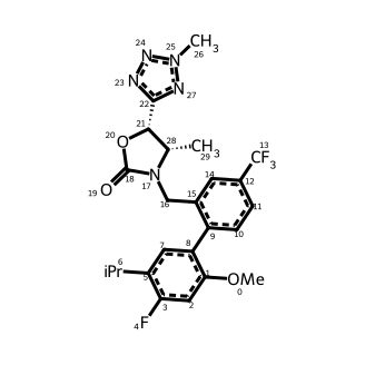 COc1cc(F)c(C(C)C)cc1-c1ccc(C(F)(F)F)cc1CN1C(=O)O[C@H](c2nnn(C)n2)[C@@H]1C